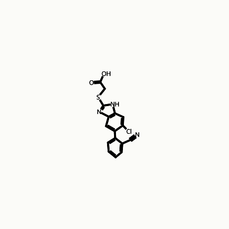 N#Cc1ccccc1-c1cc2nc(SCC(=O)O)[nH]c2cc1Cl